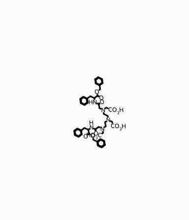 O=C(O)CN(CCN(CC(=O)O)CC(=O)NC(Cc1ccccc1)C(=O)OCc1ccccc1)CCN(CC(=O)O)CC(=O)NC(Cc1ccccc1)C(=O)OCc1ccccc1